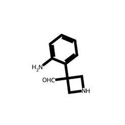 Nc1ccccc1C1(C=O)CNC1